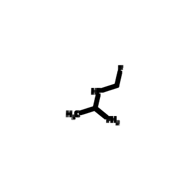 CC(P)PCF